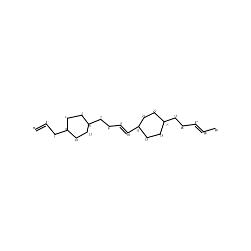 C=CCC1CCC(CCC=CC2CCC(CCC=CC)CC2)CC1